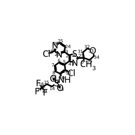 CC1(c2nc(-c3cccc(NS(=O)(=O)CCC(F)(F)F)c3Cl)c(-c3ccnc(Cl)n3)s2)CCOCC1